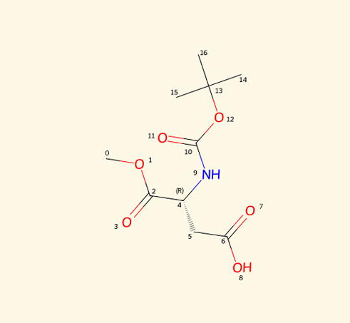 COC(=O)[C@@H](CC(=O)O)NC(=O)OC(C)(C)C